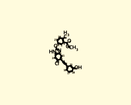 COC(=O)c1cc(Oc2nc3cc(C#Cc4cccc(O)c4)c(Cl)cc3[nH]2)ccc1C